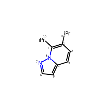 CC(C)c1ccc2ccnn2c1C(C)C